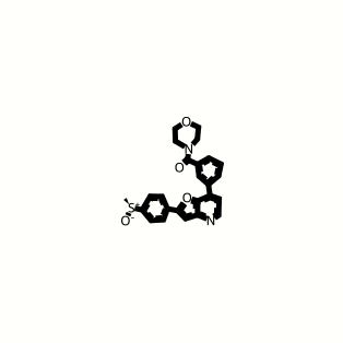 C[S@+]([O-])c1ccc(-c2cc3nccc(-c4cccc(C(=O)N5CCOCC5)c4)c3o2)cc1